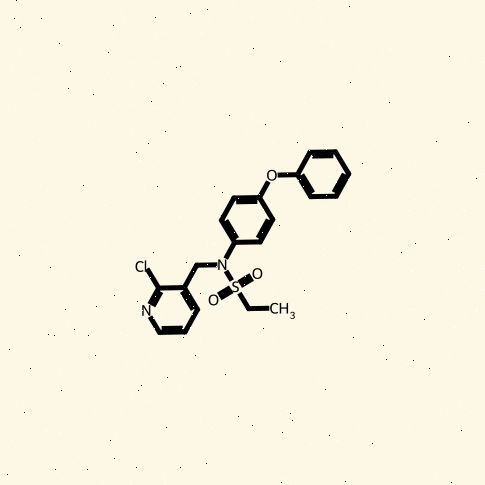 CCS(=O)(=O)N(Cc1cccnc1Cl)c1ccc(Oc2ccccc2)cc1